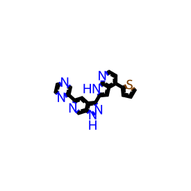 c1csc(-c2ccnc3[nH]c(-c4n[nH]c5cnc(-c6cnccn6)cc45)cc23)c1